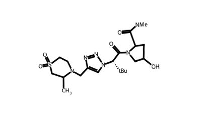 CNC(=O)C1CC(O)CN1C(=O)[C@@H](n1cc(CN2CCS(=O)(=O)CC2C)nn1)C(C)(C)C